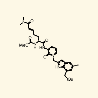 COC(=O)N[C@@H](CC/C=C/C(=O)N(C)C)C(=O)Nc1cccn(Cc2cc3cc(F)cc(CC(C)(C)C)c3[nH]2)c1=O